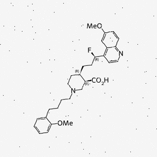 COc1ccc2nccc([C@H](F)CC[C@@H]3CCN(CCCCc4ccccc4OC)C[C@@H]3C(=O)O)c2c1